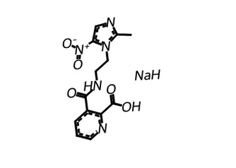 Cc1ncc([N+](=O)[O-])n1CCNC(=O)c1cccnc1C(=O)O.[NaH]